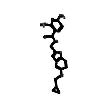 Nc1ccc(C(=O)NCc2cc3cc(OCC4CC4)ccc3o2)c(N)n1